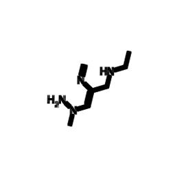 C=N/C(=C\N(C)N)CNCC